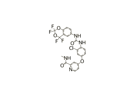 CNC(=O)c1cc(Oc2ccc(NC(=O)Nc3ccc4c(c3)C(F)(F)OC(F)(F)O4)c(Cl)c2)ccn1